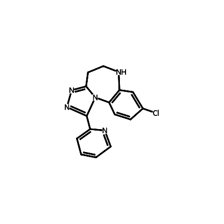 Clc1ccc2c(c1)NCCc1nnc(-c3ccccn3)n1-2